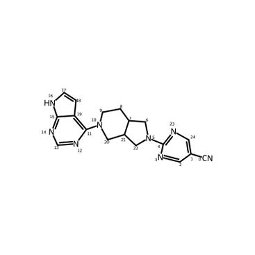 N#Cc1cnc(N2CC3CCN(c4ncnc5[nH]ccc45)CC3C2)nc1